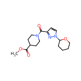 COC(=O)C1CCN(C(=O)c2ccn(C3CCCCO3)n2)CC1